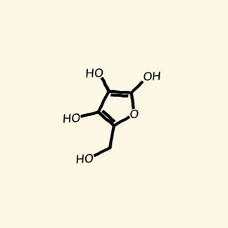 OCc1oc(O)c(O)c1O